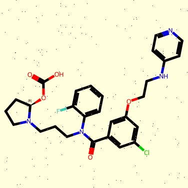 O=C(O)O[C@@H]1CCCN1CCCN(C(=O)c1cc(Cl)cc(OCCNc2ccncc2)c1)c1ccccc1F